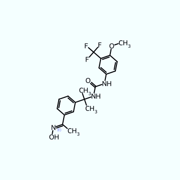 COc1ccc(NC(=O)NC(C)(C)c2cccc(/C(C)=N/O)c2)cc1C(F)(F)F